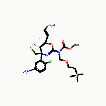 CCOC(=O)/C=C/[C@@]1(C)SC(N(COCC[Si](C)(C)C)C(=O)OC(C)(C)C)=N[C@](CF)(c2cc(N)ccc2F)[C@@H]1C